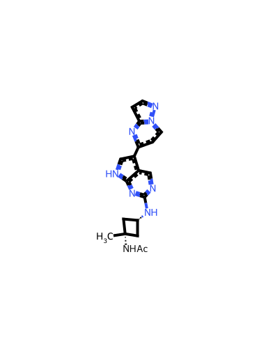 CC(=O)N[C@]1(C)C[C@H](Nc2ncc3c(-c4ccn5nccc5n4)c[nH]c3n2)C1